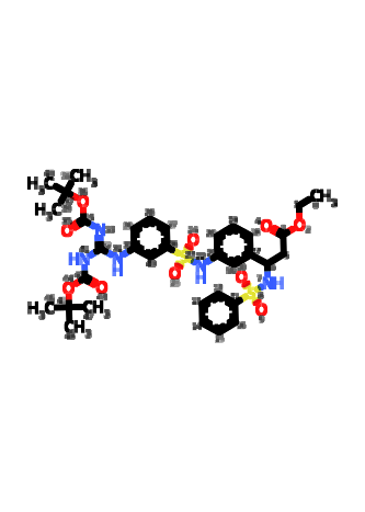 CCOC(=O)CC(NS(=O)(=O)c1ccccc1)c1cccc(NS(=O)(=O)c2cccc(NC(=NC(=O)OC(C)(C)C)NC(=O)OC(C)(C)C)c2)c1